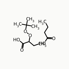 CCC(OOC(C)(C)C)C(=O)O.CCCC(=O)O